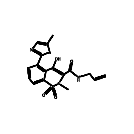 C=CCNC(=O)C1=C(O)c2c(-c3ncc(C)s3)cccc2S(=O)(=O)N1C